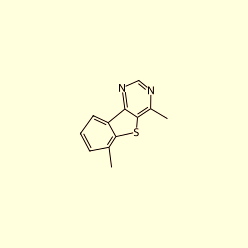 Cc1cccc2c1sc1c(C)ncnc12